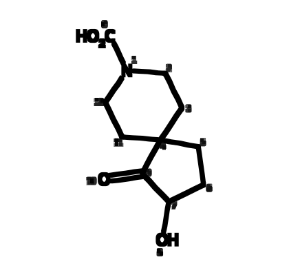 O=C(O)N1CCC2(CCC(O)C2=O)CC1